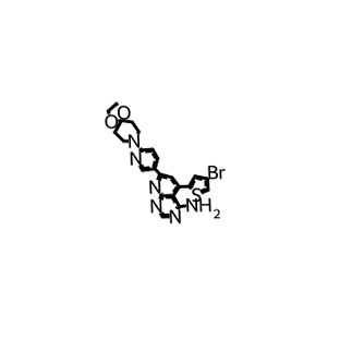 Nc1ncnc2nc(-c3ccc(N4CCC5(CC4)OCCO5)nc3)cc(-c3cc(Br)cs3)c12